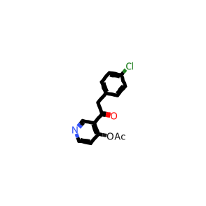 CC(=O)Oc1ccncc1C(=O)Cc1ccc(Cl)cc1